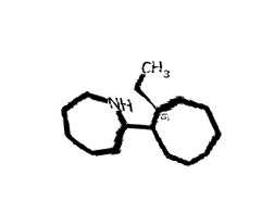 CC[C@H]1CCCCCCC1C1CCCCCN1